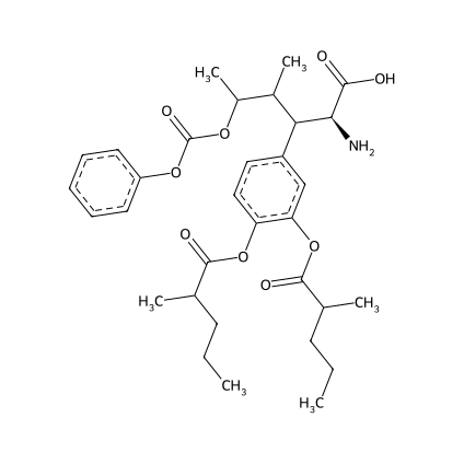 CCCC(C)C(=O)Oc1ccc(C(C(C)C(C)OC(=O)Oc2ccccc2)[C@H](N)C(=O)O)cc1OC(=O)C(C)CCC